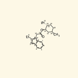 CCc1nc2ccccc2n1CC(=O)OC1CC(C)CC[C@H]1C(C)C